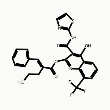 CCCC(=Cc1ccccc1)C(=O)Oc1nc2c(C(F)(F)F)cccc2c(O)c1C(=O)Nc1nccs1